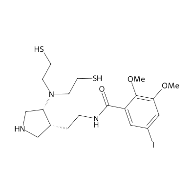 COc1cc(I)cc(C(=O)NCC[C@@H]2CNC[C@@H]2N(CCS)CCS)c1OC